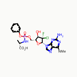 CNc1nc(N)nc2c1ncn2[C@@H]1O[C@H](COP(=O)(N[C@@H](C)C(=O)O)Oc2ccccc2)[C@@H](O)[C@@]1(F)Cl